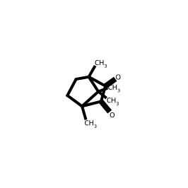 CC12CCC(C)(C(=O)C1=O)C2(C)C